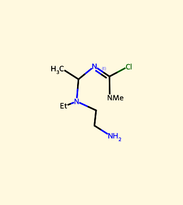 CCN(CCN)C(C)/N=C(/Cl)NC